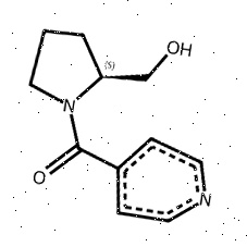 O=C(c1ccncc1)N1CCC[C@H]1CO